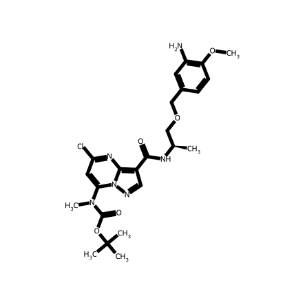 COc1ccc(COC[C@@H](C)NC(=O)c2cnn3c(N(C)C(=O)OC(C)(C)C)cc(Cl)nc23)cc1N